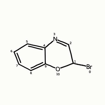 BrC1C=Nc2ccccc2O1